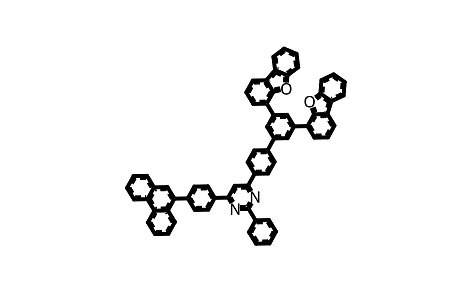 c1ccc(-c2nc(-c3ccc(-c4cc(-c5cccc6c5oc5ccccc56)cc(-c5cccc6c5oc5ccccc56)c4)cc3)cc(-c3ccc(-c4cc5ccccc5c5ccccc45)cc3)n2)cc1